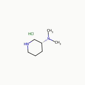 CN(C)[C@@H]1CCCNC1.Cl